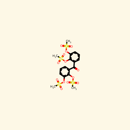 CS(=O)(=O)Oc1cccc(C(=O)c2cccc(OS(C)(=O)=O)c2OS(C)(=O)=O)c1OS(C)(=O)=O